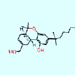 CCCCCC(C)(C)c1cc(O)c2c(c1)OC(C)(C)[C@@H]1CC=C(CO)C[C@@H]21